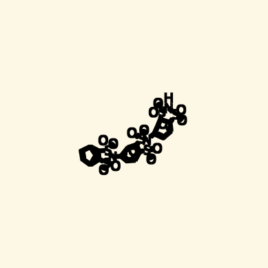 O=S1(=O)NS(=O)(=O)C2C3OC(C=C3N3S(=O)(=O)c4c(c5oc4cc5N4S(=O)(=O)C5C6C=CC(C6)C5S4(=O)=O)S3(=O)=O)C21